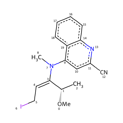 CO[C@@H](C)/C(=C\CI)N(C)c1cc(C#N)nc2ccccc12